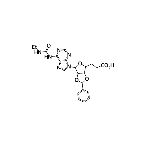 CCNC(=O)Nc1ncnc2c1ncn2C1OC(CCC(=O)O)C2OC(c3ccccc3)OC21